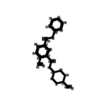 NC1CCC(CNc2nc(NCc3ccccn3)ncc2[N+](=O)[O-])CC1